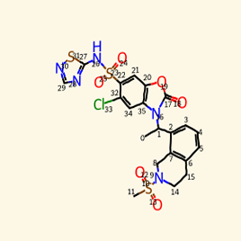 CC(c1cccc2c1CN(S(C)(=O)=O)CC2)n1c(=O)oc2cc(S(=O)(=O)Nc3ncns3)c(Cl)cc21